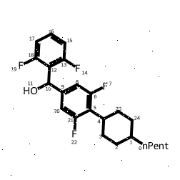 CCCCCC1CCC(c2c(F)cc(C(O)c3c(F)cccc3F)cc2F)CC1